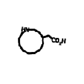 O=C(O)CC1CCCCCCCCNCC1